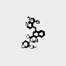 Cn1cc(Br)c2c(Cc3cc4c(=O)n([C@H]5CCOC[C@@H]5O)cnc4c4ccccc34)ccnc21